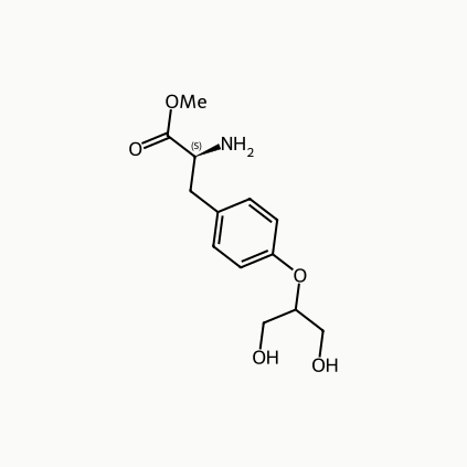 COC(=O)[C@@H](N)Cc1ccc(OC(CO)CO)cc1